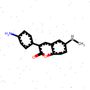 CBc1ccc2oc(=O)c(-c3ccc(N)cc3)cc2c1